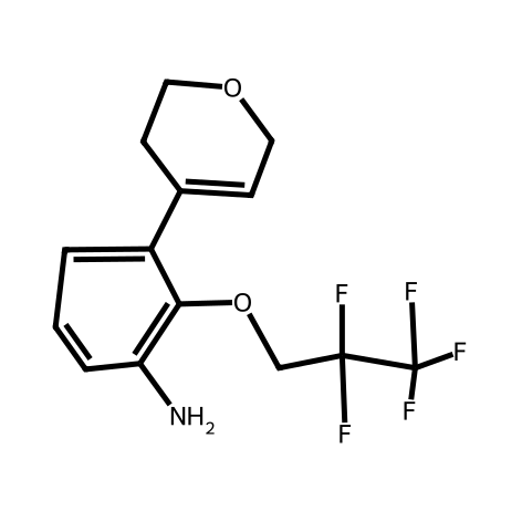 Nc1cccc(C2=CCOCC2)c1OCC(F)(F)C(F)(F)F